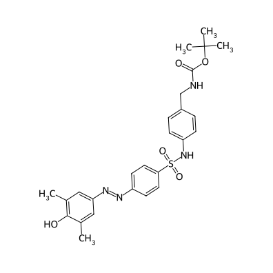 Cc1cc(/N=N/c2ccc(S(=O)(=O)Nc3ccc(CNC(=O)OC(C)(C)C)cc3)cc2)cc(C)c1O